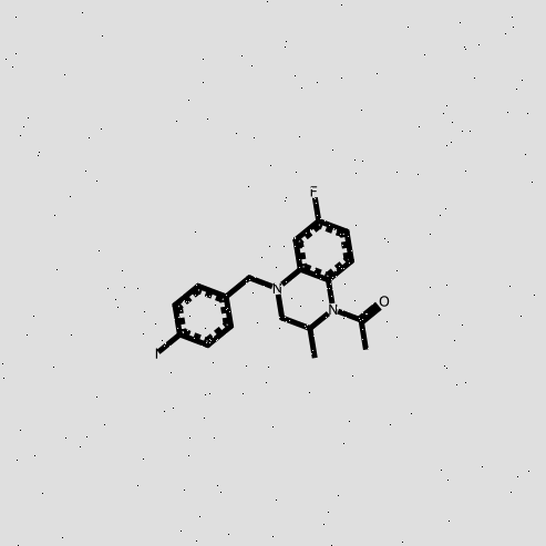 CC(=O)N1c2ccc(F)cc2N(Cc2ccc(I)cc2)CC1C